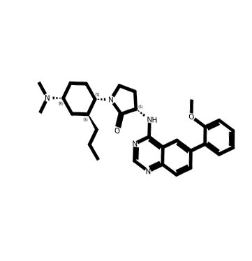 CCC[C@H]1C[C@H](N(C)C)CC[C@@H]1N1CC[C@H](Nc2ncnc3ccc(-c4ccccc4OC)cc23)C1=O